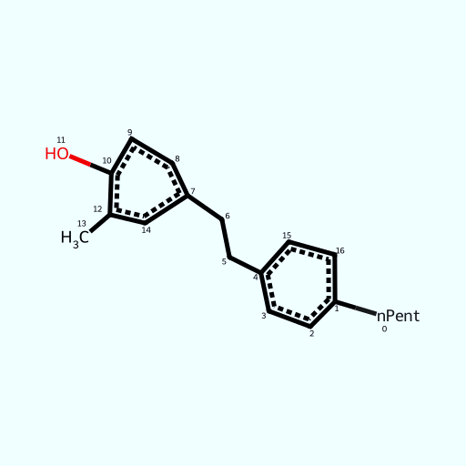 CCCCCc1ccc(CCc2ccc(O)c(C)c2)cc1